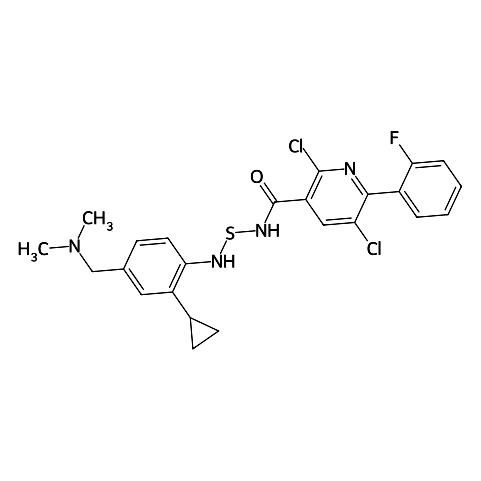 CN(C)Cc1ccc(NSNC(=O)c2cc(Cl)c(-c3ccccc3F)nc2Cl)c(C2CC2)c1